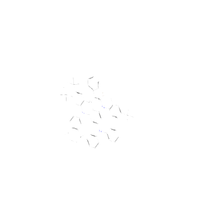 Cc1cc(C(C)(C)C)ccc1N1C2=CC(N(c3ccccc3)c3ccccc3)=CC3C2B(C2=C(CC4C(=C2)C(C)(C)CCC4(C)C)N3c2ccc3c(c2)C(C)(C)CCC3(C)C)c2c1sc1ccccc21